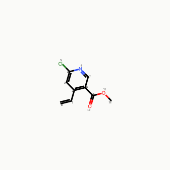 C=Cc1cc(Cl)ncc1C(=O)OC